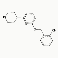 N#Cc1ccccc1COc1cccc(C2CCNCC2)n1